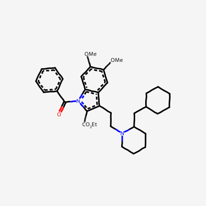 CCOC(=O)c1c(CCN2CCCCC2CC2CCCCC2)c2cc(OC)c(OC)cc2n1C(=O)c1ccccc1